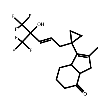 CC1=C(C2(C/C=C/C(O)(C(F)(F)F)C(F)(F)F)CC2)C2CCCC(=O)C2C1